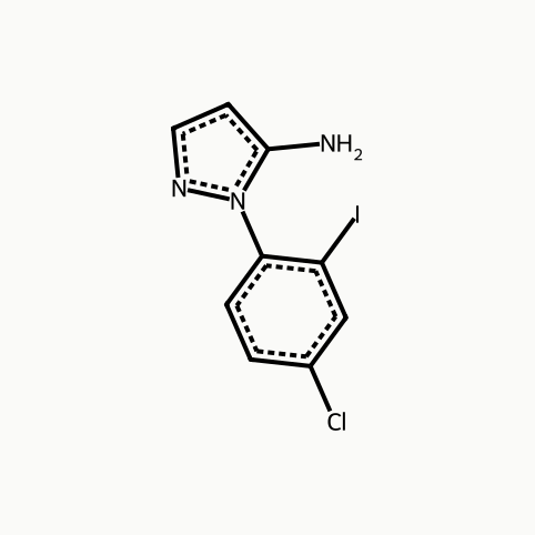 Nc1ccnn1-c1ccc(Cl)cc1I